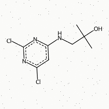 CC(C)(O)CNc1cc(Cl)nc(Cl)n1